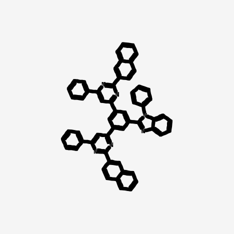 c1ccc(-c2cc(-c3cc(-c4cc(-c5ccccc5)nc(-c5ccc6ccccc6c5)n4)cc(-c4nc5ccccc5n4-c4ccccc4)c3)nc(-c3ccc4ccccc4c3)n2)cc1